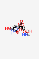 CNC(O)OC[C@H]1O[C@@H](n2ccc(NO)nc2=O)[C@@H]2OC(=O)O[C@@H]21